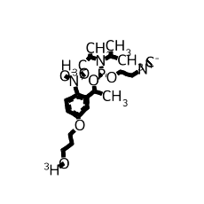 [3H]OCCCOc1ccc([N+](=O)[O-])c(C(C)OP(OCC[N+]#[C-])N(C(C)C)C(C)C)c1